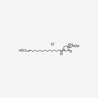 CCCCCCCCC=CCCCCCCCCCCCCNN1CC[N+](C)(CCO)C(=O)C1.[Cl-]